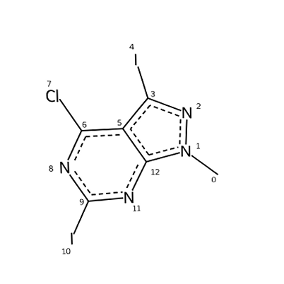 Cn1nc(I)c2c(Cl)nc(I)nc21